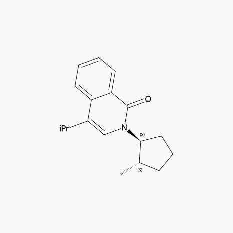 CC(C)c1cn([C@H]2CCC[C@@H]2C)c(=O)c2ccccc12